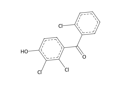 O=C(c1ccccc1Cl)c1ccc(O)c(Cl)c1Cl